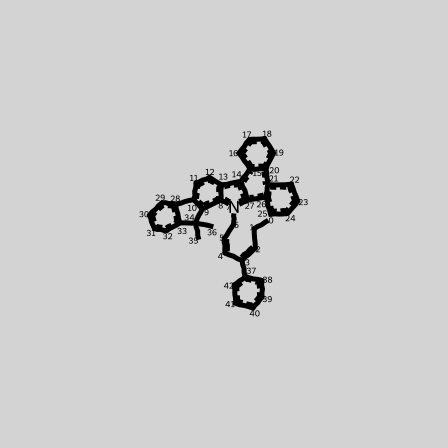 CC/C=C(\C=C/Cn1c2c3c(ccc2c2c4ccccc4c4ccccc4c21)-c1ccccc1C3(C)C)c1ccccc1